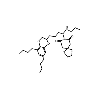 CCCCc1cc(CCCC)c2c(c1)OC(CCCC(NCCC)N1C(=O)CC3(CCCC3)CC1=O)CO2